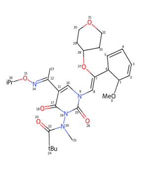 COC1C=CC=CC1/C(=C/n1cc(/C(C)=N/OC(C)C)c(=O)n(N(C)C(=O)C(C)(C)C)c1=O)OC1CCOCC1